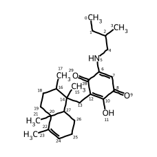 CCC(C)CNC1=CC(=O)C(O)=C(CC2(C)C(C)CCC3(C)C(C)=CCCC32)C1=O